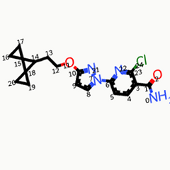 NC(=O)c1ccc(-n2ccc(OCCC3C4(CC4)C34CC4)n2)nc1Cl